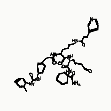 Cc1ccccc1NC(=O)Nc1ccc(CC(=O)N[C@@H](CCCCNC(=O)/C=C/c2cccnc2)C(=O)N[C@@H](CCCC=O)C(=O)NC2(C(N)=O)CCCCC2)cc1